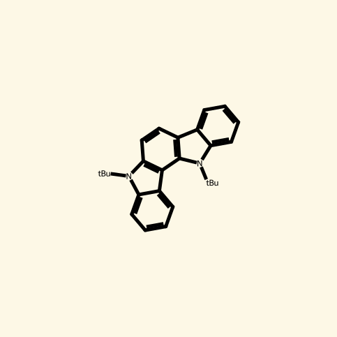 CC(C)(C)n1c2ccccc2c2c1ccc1c3ccccc3n(C(C)(C)C)c12